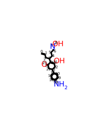 C=CCC(CCC=NO)C1=C(O)CC(c2ccc(N)cc2)CC1=O